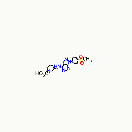 CS(=O)(=O)c1ccc(-n2ncc3c(NCC4CCCN(C(=O)O)C4)ncnc32)cc1